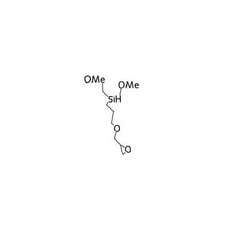 COC[SiH](CCCOCC1CO1)COC